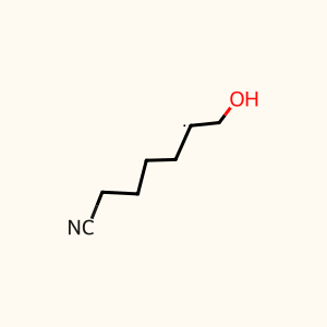 N#CCCCC[CH]CO